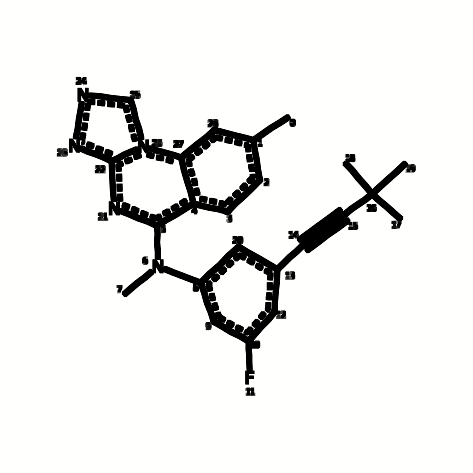 Cc1ccc2c(N(C)c3cc(F)cc(C#CC(C)(C)C)c3)nc3nncn3c2c1